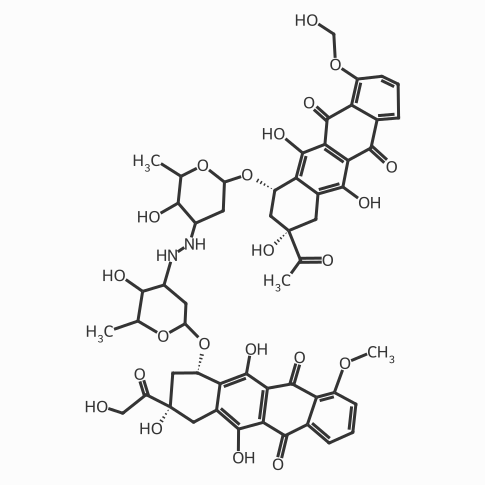 COc1cccc2c1C(=O)c1c(O)c3c(c(O)c1C2=O)C[C@@](O)(C(=O)CO)C[C@@H]3OC1CC(NNC2CC(O[C@H]3C[C@](O)(C(C)=O)Cc4c(O)c5c(c(O)c43)C(=O)c3c(OCO)cccc3C5=O)OC(C)C2O)C(O)C(C)O1